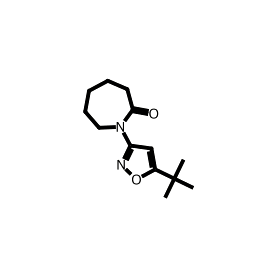 CC(C)(C)c1cc(N2CCCCCC2=O)no1